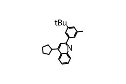 Cc1cc(-c2cc(C3CCCC3)c3ccccc3n2)cc(C(C)(C)C)c1